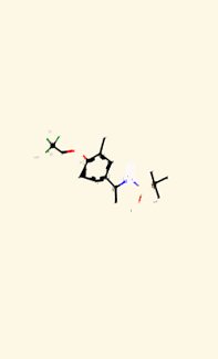 Cc1cc(C(C)N[S+]([O-])C(C)(C)C)ccc1OCC(F)(F)F